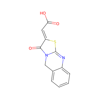 O=C(O)C=c1sc2n(c1=O)Cc1ccccc1N=2